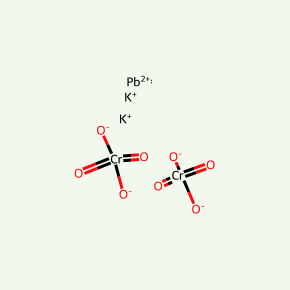 [K+].[K+].[O]=[Cr](=[O])([O-])[O-].[O]=[Cr](=[O])([O-])[O-].[Pb+2]